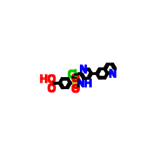 O=C(O)c1ccc(S(=O)(=O)Nc2cc(-c3ccc4ncccc4c3)cnc2Cl)cc1